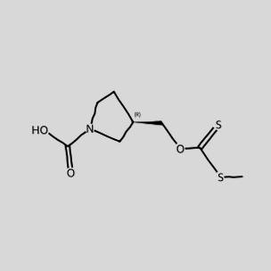 CSC(=S)OC[C@@H]1CCN(C(=O)O)C1